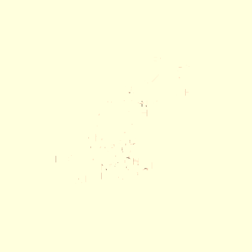 CC(C)C(=O)NC[C@@]1(O)C2CC[C@H]1C[C@H](S(=O)(=O)c1cc(C(=O)Nc3cc(F)c(F)c(F)c3)ccc1Cl)C2